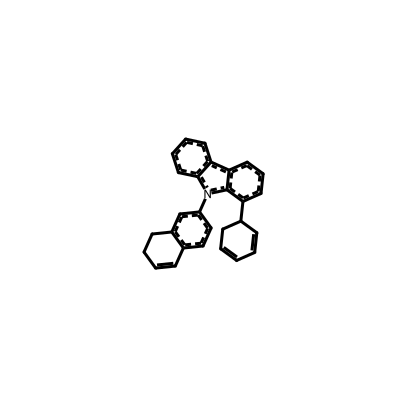 C1=CCC(c2cccc3c4ccccc4n(-c4ccc5c(c4)CCC=C5)c23)C=C1